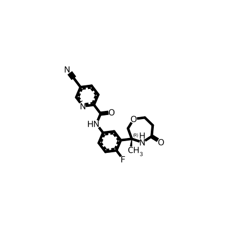 C[C@@]1(c2cc(NC(=O)c3ccc(C#N)cn3)ccc2F)COCCC(=O)N1